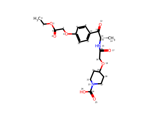 CCOC(=O)COc1ccc(C(=O)[C@H](C)NC(=O)COC2CCN(C(=O)O)CC2)cc1